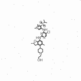 Cc1cc(Nc2ncc(Cl)c(Nc3cn(C)nc3S(=O)(=O)C(C)C)n2)c2c(c1C1CCN(CCO)CC1)C[C@@H](C)O2